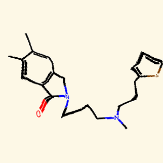 Cc1cc2c(cc1C)C(=O)N(CCCN(C)CCc1cccs1)C2